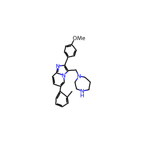 COc1ccc(-c2nc3ccc(-c4ccccc4C)cn3c2CN2CCCNCC2)cc1